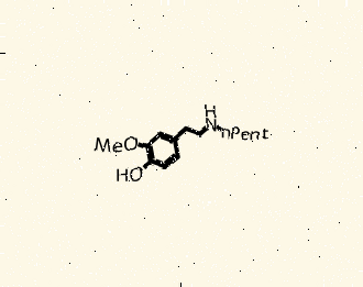 CCCCCNCCc1ccc(O)c(OC)c1